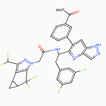 COC(=O)c1cccc(-c2cc3[nH]ncc3nc2C(Cc2cc(F)cc(F)c2)NC(=O)Cn2nc(C(F)F)c3c2C(F)(F)C2CC32)c1